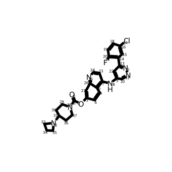 O=C(Oc1ccc2c(Nc3cnnc(-c4cc(Cl)ccc4F)c3)ccnc2c1)N1CCC(N2CCC2)CC1